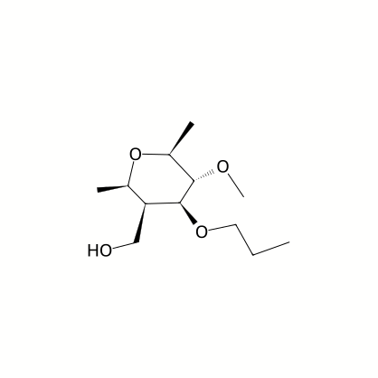 CCCO[C@H]1[C@@H](CO)[C@@H](C)O[C@@H](C)[C@@H]1OC